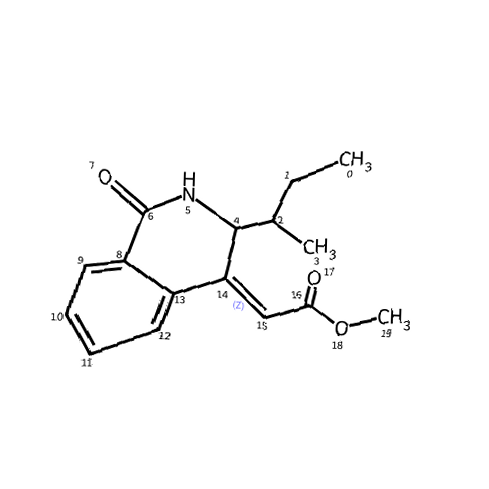 CCC(C)C1NC(=O)c2ccccc2/C1=C/C(=O)OC